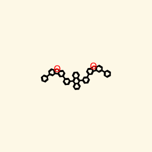 c1ccc(-c2ccc3oc4ccc(-c5cccc(-c6c7ccccc7c(-c7cccc(-c8ccc9oc%10ccc(-c%11ccccc%11)cc%10c9c8)c7)c7ccccc67)c5)cc4c3c2)cc1